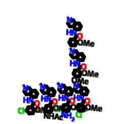 COc1cc(Cl)ccc1C(=O)Nc1cccc2c1CCN(C)C2.COc1cc(N)c(Cl)cc1C(=O)Nc1cccc2c1CCN(C)C2.COc1cc(NC(C)=O)c(Br)cc1C(=O)Nc1cccc2c1CCN(C)C2.COc1ccc(C(=O)Nc2cccc3c2CCN(C)C3)c(OC)c1.COc1ccc(Cl)cc1C(=O)Nc1cccc2c1CCN(C)C2.COc1ccccc1C(=O)Nc1cccc2c1CCN(C)C2